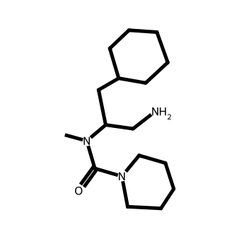 CN(C(=O)N1CCCCC1)C(CN)CC1CCCCC1